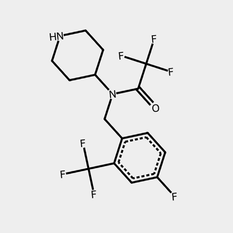 O=C(N(Cc1ccc(F)cc1C(F)(F)F)C1CCNCC1)C(F)(F)F